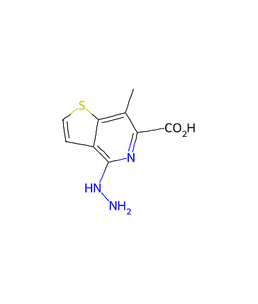 Cc1c(C(=O)O)nc(NN)c2ccsc12